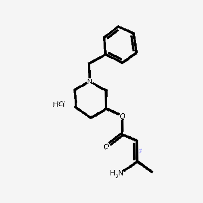 C/C(N)=C/C(=O)OC1CCCN(Cc2ccccc2)C1.Cl